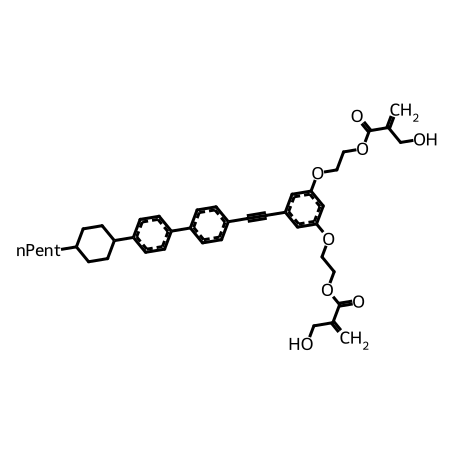 C=C(CO)C(=O)OCCOc1cc(C#Cc2ccc(-c3ccc(C4CCC(CCCCC)CC4)cc3)cc2)cc(OCCOC(=O)C(=C)CO)c1